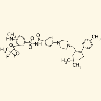 CNc1ccc(S(=O)(=O)NC(=O)c2ccc(N3CCN(CC4=C(c5ccc(C)cc5)CCC(C)(C)C4)CC3)cc2)cc1S(=O)(=O)C(C)(F)F